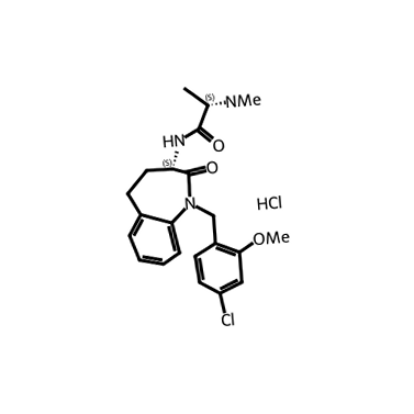 CN[C@@H](C)C(=O)N[C@H]1CCc2ccccc2N(Cc2ccc(Cl)cc2OC)C1=O.Cl